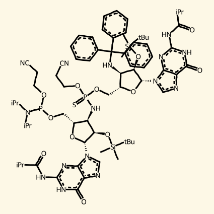 CC(C)C(=O)Nc1nc2c(ncn2[C@@H]2O[C@H](COP(=S)(N[C@H]3[C@@H](O[Si](C)(C)C(C)(C)C)[C@H](n4cnc5c(=O)[nH]c(NC(=O)C(C)C)nc54)O[C@@H]3COP(OCCC#N)N(C(C)C)C(C)C)OCCC#N)[C@@H](NC(c3ccccc3)(c3ccccc3)c3ccccc3)[C@H]2O[Si](C)(C)C(C)(C)C)c(=O)[nH]1